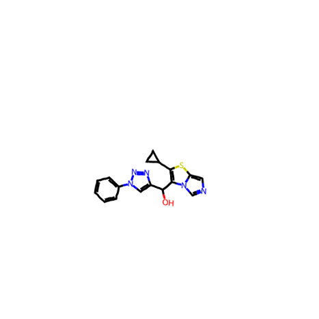 OC(c1cn(-c2ccccc2)nn1)c1c(C2CC2)sc2cncn12